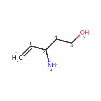 C=CC([NH])CCO